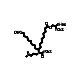 CCCCCCCCC(=O)N(CCCN(C)C)C(CCCCCCCCC=O)CCCCCCCCC(=O)OCC(CCCCCC)CCCCCCCC